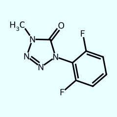 Cn1nnn(-c2c(F)cccc2F)c1=O